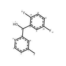 Cc1ccnc(C(O)c2cc(F)ccc2F)c1